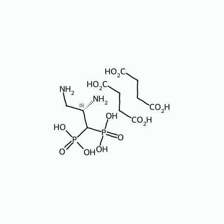 NC[C@H](N)C(P(=O)(O)O)P(=O)(O)O.O=C(O)CCC(=O)O.O=C(O)CCC(=O)O